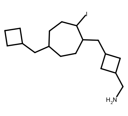 NCC1CC(CC2CCC(CC3CCC3)CCC2I)C1